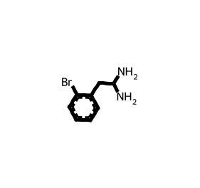 NC(N)Cc1ccccc1Br